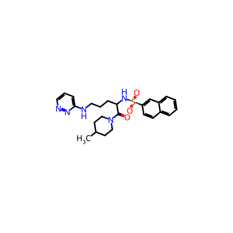 CC1CCN(C(=O)C(CCCNc2cccnn2)NS(=O)(=O)c2ccc3ccccc3c2)CC1